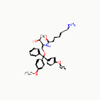 COc1ccc(C(OCC(NC(=O)CCCCCN)C(C)O)(c2ccccc2)c2ccc(OC)cc2)cc1